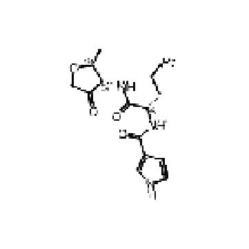 CC(C)CC[C@H](NC(=O)c1cc[nH]c1)C(=O)N[C@@H]1C(=O)CO[C@H]1C